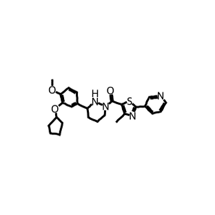 COc1ccc(C2CCCN(C(=O)c3sc(-c4cccnc4)nc3C)N2)cc1OC1CCCC1